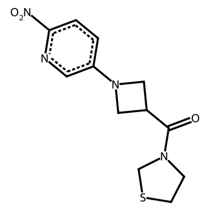 O=C(C1CN(c2ccc([N+](=O)[O-])nc2)C1)N1CCSC1